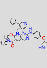 CN(C)C(=O)c1cc2cnc(Nc3ccc(OC4CCNC4)cc3)nc2n(Cc2ccncc2C2=CCCC2)c1=O